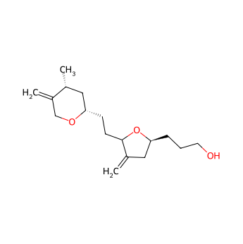 C=C1C[C@H](CCCO)OC1CC[C@H]1C[C@@H](C)C(=C)CO1